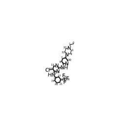 CCN1CCN(c2ccc(Nc3ncc(Cl)c(Nc4cccc(C(F)(F)F)c4)n3)nc2)CC1